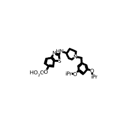 CC(C)Oc1cc(CN2CCC(Nc3nc4ccc(OC(=O)O)cc4s3)CC2)cc(OC(C)C)c1